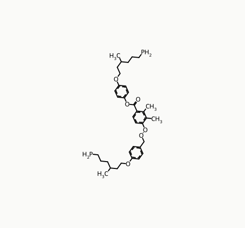 Cc1c(OOCc2ccc(OCCC(C)CCCP)cc2)ccc(C(=O)Oc2ccc(OCCC(C)CCCP)cc2)c1C